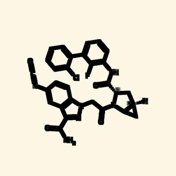 NC(=O)c1nn(CC(=O)N2C3C[C@@H]3C[C@H]2C(=O)Nc2cccc(-c3ccccc3Cl)c2F)c2ccc(N=C=O)cc12